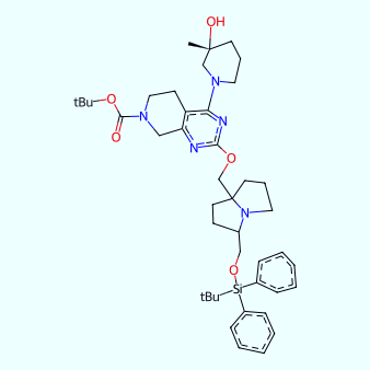 CC(C)(C)OC(=O)N1CCc2c(nc(OCC34CCCN3C(CO[Si](c3ccccc3)(c3ccccc3)C(C)(C)C)CC4)nc2N2CCC[C@@](C)(O)C2)C1